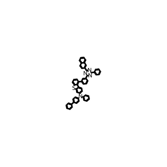 c1ccc(-c2ccc(N(c3ccccc3)c3ccc4c(c3)sc3cccc(-c5cccc(-c6nc(-c7ccccc7)nc(-c7ccc8ccccc8c7)n6)c5)c34)cc2)cc1